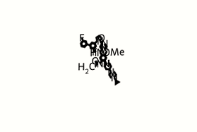 C=CC(=O)Nc1cc(Nc2cc(N3OCCC3c3cc(F)cc(-c4cccc(F)c4)c3)ncn2)c(OC)cc1N1CCC(N2CCN(C3CC3)CC2)CC1